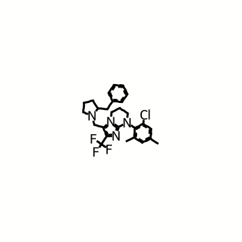 Cc1cc(C)c(N2CCCn3c2nc(C(F)(F)F)c3CN2CCCC2Cc2ccccc2)c(Cl)c1